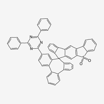 O=S1(=O)c2ccccc2-c2cc3c(cc21)C1(c2ccccc2-c2ccccc2-c2ccc(-c4nc(-c5ccccc5)nc(-c5ccccc5)n4)cc21)c1ccccc1-3